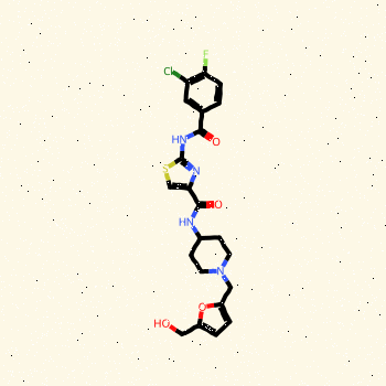 O=C(Nc1nc(C(=O)NC2CCN(Cc3ccc(CO)o3)CC2)cs1)c1ccc(F)c(Cl)c1